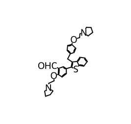 O=Cc1cc(-c2sc3ccccc3c2Cc2ccc(OCCN3CCCC3)cc2)ccc1OCCN1CCCC1